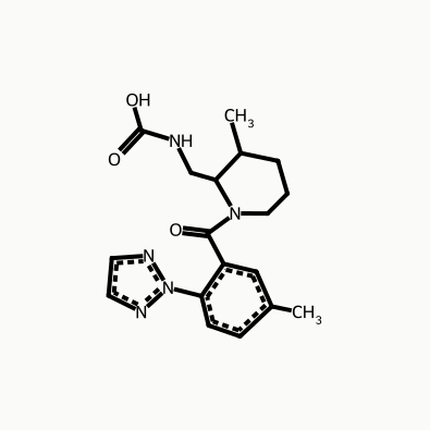 Cc1ccc(-n2nccn2)c(C(=O)N2CCCC(C)C2CNC(=O)O)c1